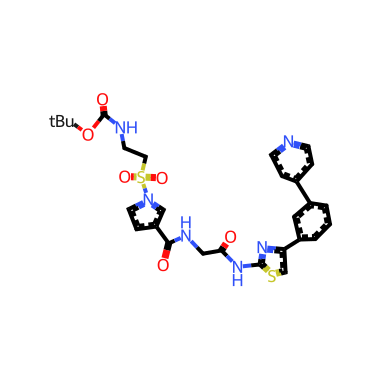 CC(C)(C)OC(=O)NCCS(=O)(=O)n1ccc(C(=O)NCC(=O)Nc2nc(-c3cccc(-c4ccncc4)c3)cs2)c1